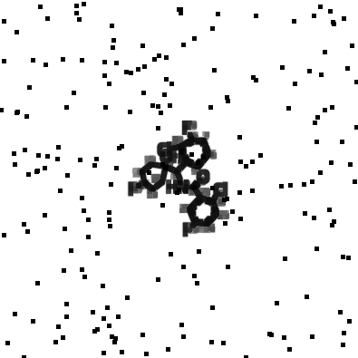 O=C(NC(c1cccc(F)c1Cl)[C@]1(O)CC[C@@H](F)CC1)c1cc(F)ccc1Cl